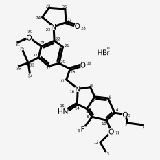 Br.CCOc1cc2c(c(F)c1OCC)C(=N)N(CC(=O)c1cc(N3CCCC3=O)c(OC)c(C(C)(C)C)c1)C2